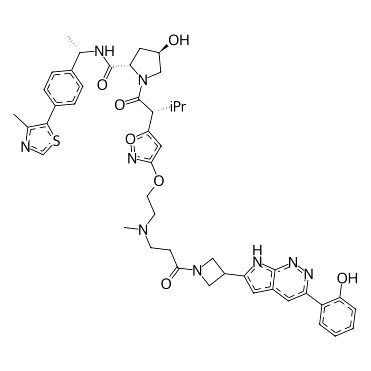 Cc1ncsc1-c1ccc([C@H](C)NC(=O)[C@@H]2C[C@@H](O)CN2C(=O)[C@@H](c2cc(OCCN(C)CCC(=O)N3CC(c4cc5cc(-c6ccccc6O)nnc5[nH]4)C3)no2)C(C)C)cc1